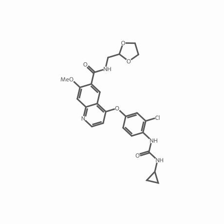 COc1cc2nccc(Oc3ccc(NC(=O)NC4CC4)c(Cl)c3)c2cc1C(=O)NCC1OCCO1